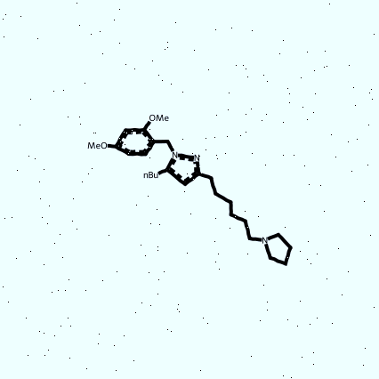 CCCCc1cc(CCCCCCN2CCCC2)nn1Cc1ccc(OC)cc1OC